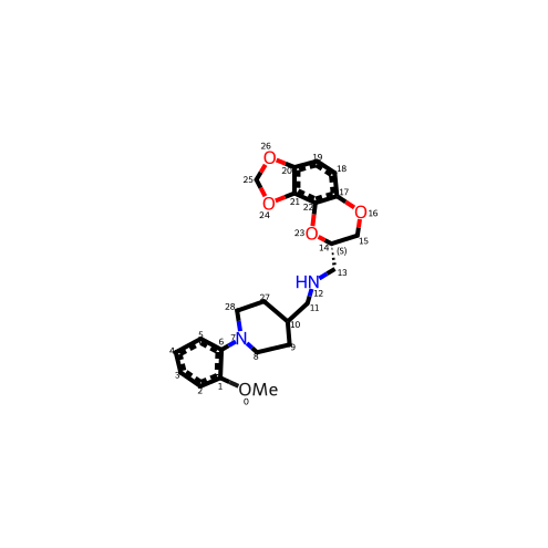 COc1ccccc1N1CCC(CNC[C@H]2COc3ccc4c(c3O2)OCO4)CC1